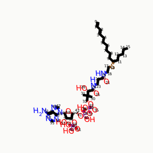 C=CC=CCCCCCCC(CCCCC)SCCNC(=O)CCNC(=O)[C@H](O)C(C)(C)COP(=O)(O)OP(=O)(O)OC[C@H]1O[C@@H](n2cnc3c(N)ncnc32)[C@H](O)[C@@H]1OP(=O)(O)O